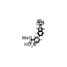 COC(=O)C1CN(c2ccc3c(c2)CN(C(=O)OC(C)(C)C)C3)CCN1C(=O)O